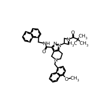 COc1ccc(CN2CCc3c(c(C(=O)NCc4cccc5ccccc45)nn3C3CN(C(=O)C(C)(C)C)C3)C2)c2ccccc12